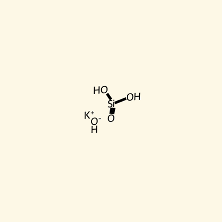 O=[Si](O)O.[K+].[OH-]